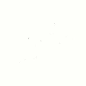 Cc1ccc(N2CCN(C(=O)C(O)c3ccc(F)cc3F)C[C@H]2c2ccc(Cl)cc2)c(Cl)c1